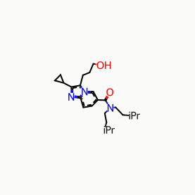 CC(C)CCN(CCC(C)C)C(=O)c1ccc2nc(C3CC3)c(CCCO)n2c1